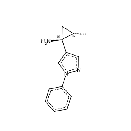 C[C@H]1C[C@@]1(N)c1cnn(-c2ccccc2)c1